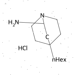 CCCCCCC12CCN(CC1)C(N)C2.Cl